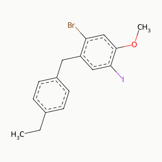 CCc1ccc(Cc2cc(I)c(OC)cc2Br)cc1